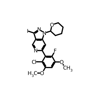 COc1cc(OC)c(Cl)c(-c2cc3c(cn2)c(I)nn3C2CCCCO2)c1F